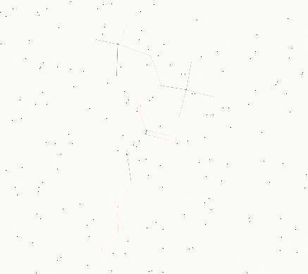 CC(C)(C)CC(OC(=O)CCOP=O)C(C)(C)C